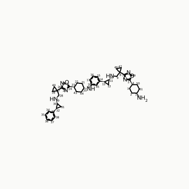 N[C@H]1CC[C@@H](c2nc(C3(CN[C@@H]4C[C@H]4c4cccc(N[C@H]5CC[C@H](c6nc(C7(CN[C@@H]8C[C@H]8c8ccccc8)CC7)no6)CC5)c4)CC3)no2)CC1